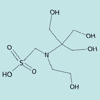 O=S(=O)(O)CN(CCO)C(CO)(CO)CO